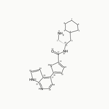 NC[C@H](CC1CCCCC1)NC(=O)c1ccc(-c2ccnc3[nH]ccc23)s1